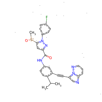 CC(C)c1ccc(NC(=O)c2cc([S+](C)[O-])n(-c3ccc(F)cc3)n2)cc1C#Cc1cnc2cccnn12